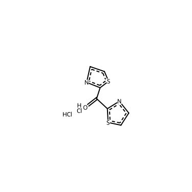 Cl.Cl.O=C(c1nccs1)c1nccs1